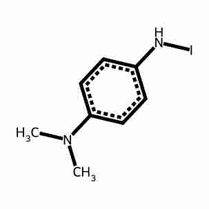 CN(C)c1ccc(NI)cc1